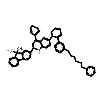 CC1(C)c2ccccc2-c2ccc(C3CC(C4=CCCC=C4)=C4C=C(C5CC=CC=C5c5cccc(CCCCCCc6ccccc6)c5)C=CC4N3)cc21